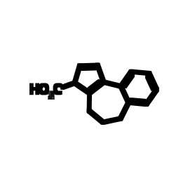 O=C(O)C1C=CC2=C1CCCc1ccccc12